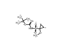 COC1(S(=O)(=O)NC(=O)OC(C)(C)C)CC1